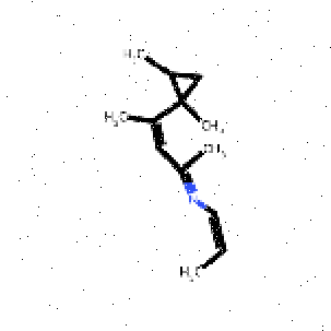 C\C=C/N=C(C)/C=C(/C)C1(C)CC1C